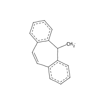 [CH2]C1c2ccccc2C=Cc2ccccc21